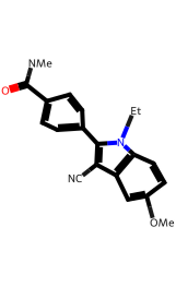 CCn1c(-c2ccc(C(=O)NC)cc2)c(C#N)c2cc(OC)ccc21